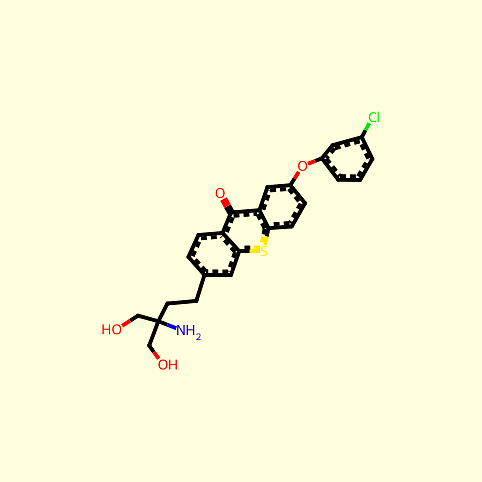 NC(CO)(CO)CCc1ccc2c(=O)c3cc(Oc4cccc(Cl)c4)ccc3sc2c1